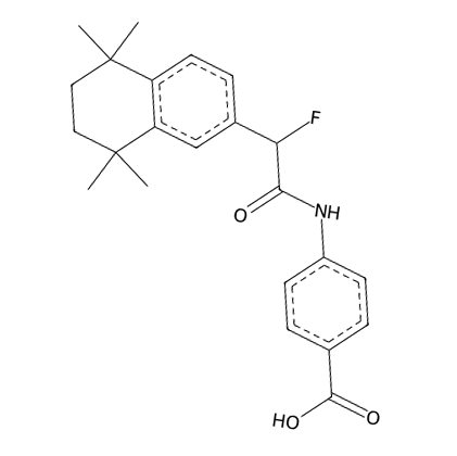 CC1(C)CCC(C)(C)c2cc(C(F)C(=O)Nc3ccc(C(=O)O)cc3)ccc21